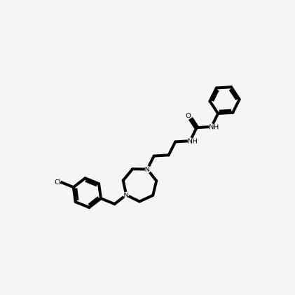 O=C(NCCCN1CCCN(Cc2ccc(Cl)cc2)CC1)Nc1ccccc1